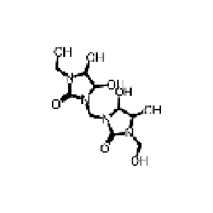 O=C1N(CO)C(O)C(O)N1CN1C(=O)N(CO)C(O)C1O